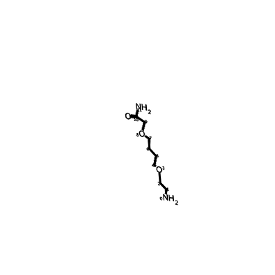 NCCOCCCCOCC(N)=O